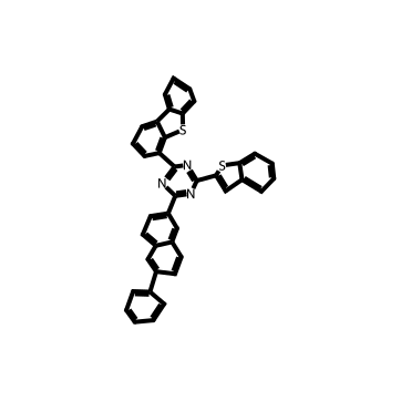 c1ccc(-c2ccc3cc(-c4nc(-c5cc6ccccc6s5)nc(-c5cccc6c5sc5ccccc56)n4)ccc3c2)cc1